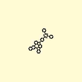 c1ccc(-c2nc(-c3ccccc3)nc(-c3ccc(-n4c5cccc6c7cc8ccccc8cc7n7c8ccccc8c8ccc4c(c65)c87)cc3)n2)cc1